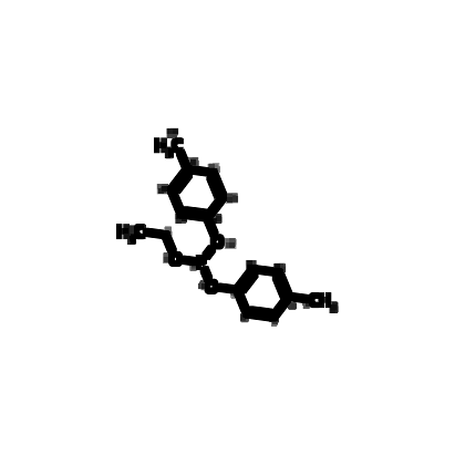 CCOP(Oc1ccc(C)cc1)Oc1ccc(C)cc1